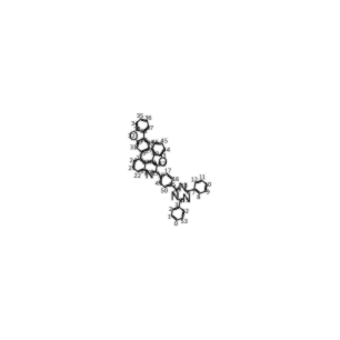 c1ccc(-c2nc(-c3ccccc3)nc(-c3ccc(-c4nc5cccc(-c6ccc7c(c6)oc6ccccc67)c5c5c4oc4ccccc45)cc3)n2)cc1